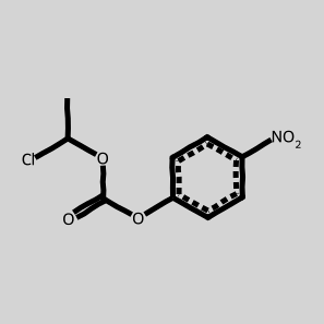 CC(Cl)OC(=O)Oc1ccc([N+](=O)[O-])cc1